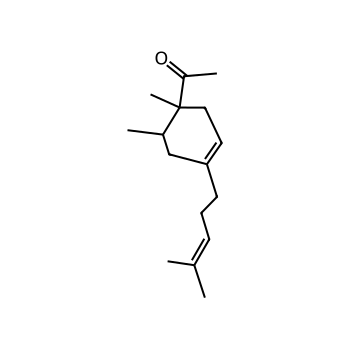 CC(=O)C1(C)CC=C(CCC=C(C)C)CC1C